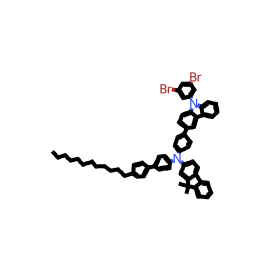 CCCCCCCCCCCCc1ccc(-c2ccc(N(c3ccc(-c4ccc5c(c4)c4ccccc4n5-c4cc(Br)cc(Br)c4)cc3)c3ccc4c(c3)C(C)(C)c3ccccc3-4)cc2)cc1